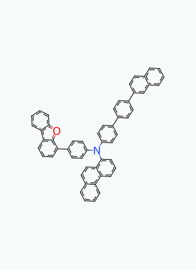 c1ccc2cc(-c3ccc(-c4ccc(N(c5ccc(-c6cccc7c6oc6ccccc67)cc5)c5cccc6c5ccc5ccccc56)cc4)cc3)ccc2c1